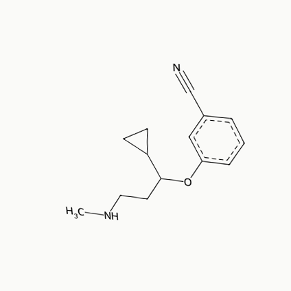 CNCCC(Oc1cccc(C#N)c1)C1CC1